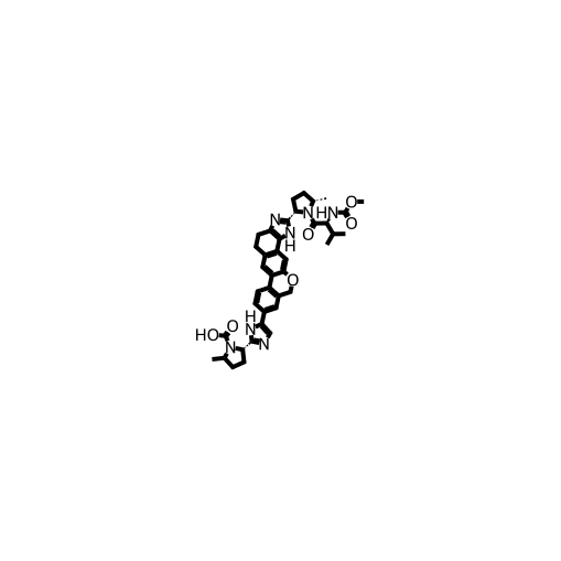 COC(=O)N[C@H](C(=O)N1[C@@H](C)CC[C@H]1c1nc2c([nH]1)-c1cc3c(cc1CC2)-c1ccc(-c2cnc([C@@H]4CCC(C)N4C(=O)O)[nH]2)cc1CO3)C(C)C